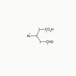 CC(=O)C(CC=O)CC(=O)O